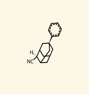 N#C[C@H]1C2CC3CC1C[C@@](c1ccccc1)(C3)C2